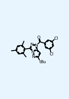 Cc1cc(C)c(-c2nn(C(=O)c3cc(Cl)cc(Cl)c3)c3cc(C(C)(C)C)nn23)c(C)c1